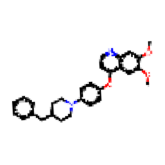 COc1cc2nccc(Oc3ccc(N4CCC(Cc5ccccc5)CC4)cc3)c2cc1OC